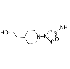 [NH-]c1c[n+](N2CCC(CCO)CC2)no1